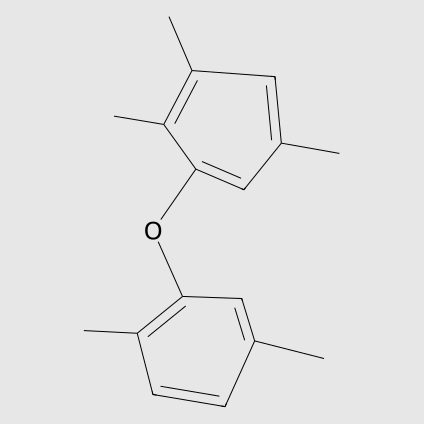 Cc1ccc(C)c(Oc2cc(C)cc(C)c2C)c1